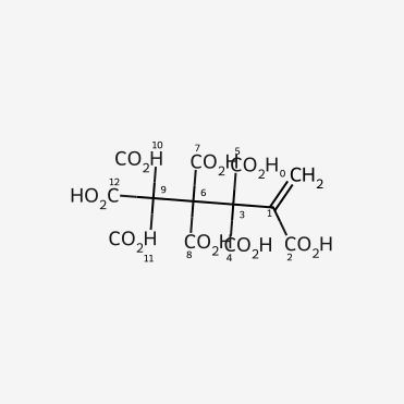 C=C(C(=O)O)C(C(=O)O)(C(=O)O)C(C(=O)O)(C(=O)O)C(C(=O)O)(C(=O)O)C(=O)O